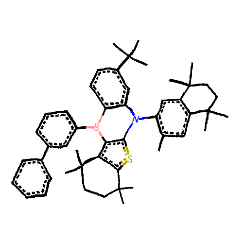 Cc1cc2c(cc1N1c3cc(C(C)(C)C)ccc3B(c3cccc(-c4ccccc4)c3)c3c1sc1c3C(C)(C)CCC1(C)C)C(C)(C)CCC2(C)C